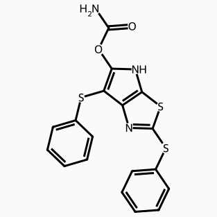 NC(=O)Oc1[nH]c2sc(Sc3ccccc3)nc2c1Sc1ccccc1